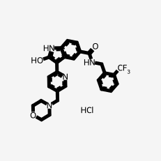 Cl.O=C(NCc1ccccc1C(F)(F)F)c1ccc2[nH]c(O)c(-c3ccc(CN4CCOCC4)cn3)c2c1